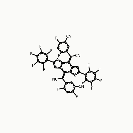 N#C/C(c1cc(C#N)c(F)cc1F)=c1\c2cc(-c3c(F)c(F)c(F)c(F)c3F)sc2/c(=C(/C#N)c2cc(C#N)c(F)cc2F)c2cc(-c3c(F)c(F)c(F)c(F)c3F)sc12